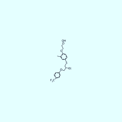 CCC(COc1ccc(C(F)(F)F)cc1)CSc1ccc(OCCOO)c(C)c1